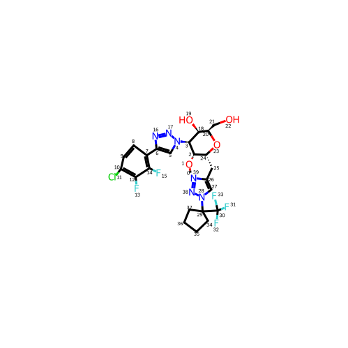 CO[C@@H]1[C@@H](n2cc(-c3ccc(Cl)c(F)c3F)nn2)[C@@H](O)[C@@H](CO)O[C@@H]1Cc1cn(C2(C(F)(F)F)CCCC2)nn1